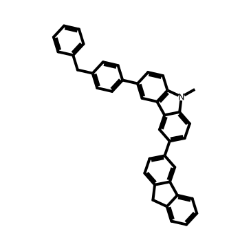 Cn1c2ccc(-c3ccc(Cc4ccccc4)cc3)cc2c2cc(-c3ccc4c(c3)-c3ccccc3C4)ccc21